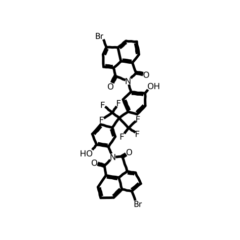 O=C1c2cccc3c(Br)ccc(c23)C(=O)N1c1cc(C(c2ccc(O)c(N3C(=O)c4cccc5c(Br)ccc(c45)C3=O)c2)(C(F)(F)F)C(F)(F)F)ccc1O